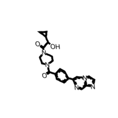 O=C(c1ccc(-c2cn3ccnc3cn2)cc1)N1CCN(C(=O)C(O)C2CC2)CC1